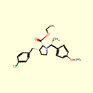 CCOC(=O)[C@H]1[C@@H](Cc2ccc(Cl)cc2)CCN1[C@H](C)c1ccc(OC)cc1